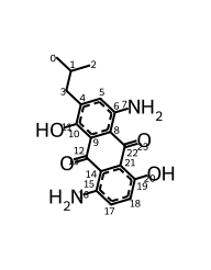 CC(C)Cc1cc(N)c2c(c1O)C(=O)c1c(N)ccc(O)c1C2=O